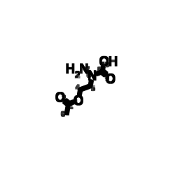 CC(=O)OCCN(N)C(=O)O